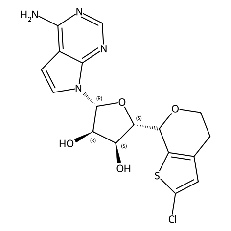 Nc1ncnc2c1ccn2[C@@H]1O[C@H](C2OCCc3cc(Cl)sc32)[C@@H](O)[C@H]1O